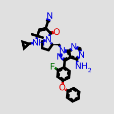 CC(C)(/C=C(/C#N)C(=O)N1CCC[C@@H]1Cn1nc(-c2ccc(Oc3ccccc3)cc2F)c2c(N)ncnc21)NC1CC1